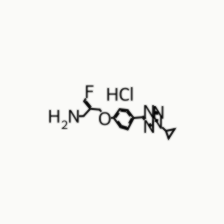 Cl.NC/C(=C/F)COc1ccc(-c2nnn(C3CC3)n2)cc1